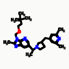 Cc1cc(CC2CCN(C(C)c3cnc4c(c3)nc(C)n4COCC[Si](C)(C)C)C2)cc(C)n1